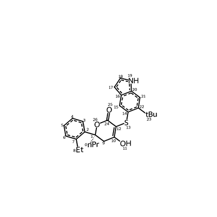 CCC[C@@]1(c2ccccc2CC)CC(O)=C(Sc2cc3cc[nH]c3cc2C(C)(C)C)C(=O)O1